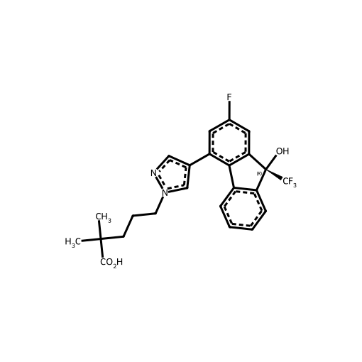 CC(C)(CCCn1cc(-c2cc(F)cc3c2-c2ccccc2[C@]3(O)C(F)(F)F)cn1)C(=O)O